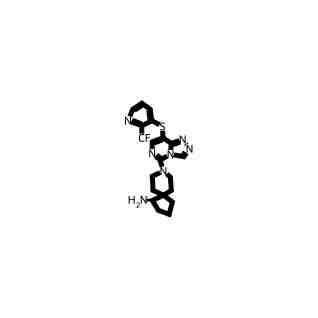 N[C@@H]1CCCC12CCN(c1ncc(Sc3cccnc3C(F)(F)F)c3nncn13)CC2